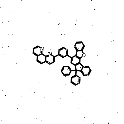 c1ccc(C2(c3ccccc3)c3ccccc3-c3c2cc(-c2cccc(-c4ccc5ccc6cccnc6c5n4)c2)c2c3oc3ccccc32)cc1